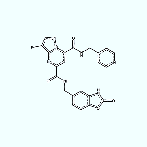 O=C(NCc1ccc2oc(=O)[nH]c2c1)c1cc(C(=O)NCc2ccncc2)n2ncc(F)c2n1